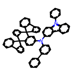 c1ccc(-c2cccc(N(c3ccc4c(c3)C3(c5ccccc5-c5ccccc53)c3ccccc3C43c4ccccc4-c4ccccc43)c3ccc4c(c3)c3ccccc3n4-c3ccccc3)c2)cc1